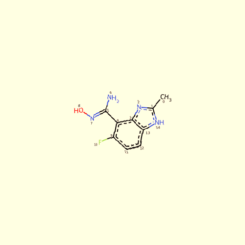 Cc1nc2c(/C(N)=N/O)c(F)ccc2[nH]1